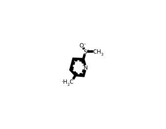 [CH2]c1ccc([S+](C)[O-])nc1